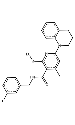 CCSc1nc(N2CCCc3ccccc32)cc(C)c1C(=O)NCc1cccc(F)c1